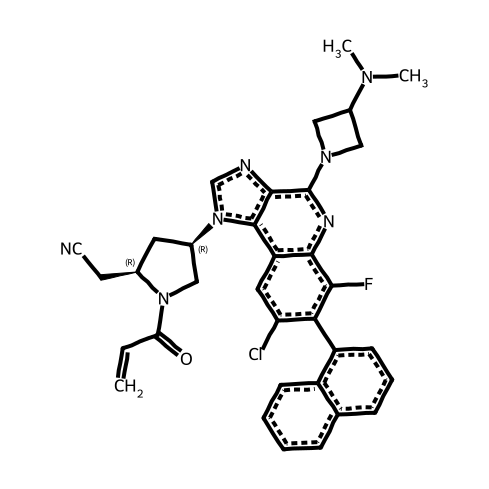 C=CC(=O)N1C[C@H](n2cnc3c(N4CC(N(C)C)C4)nc4c(F)c(-c5cccc6ccccc56)c(Cl)cc4c32)C[C@@H]1CC#N